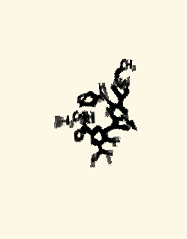 CCn1cc(-c2cn3ncc(-c4cc(C(=O)NC)cc(C(F)F)c4F)c3nc2N[C@H]2CCOC2)cn1